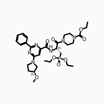 CCOC(=O)N1CCN(C(=O)[C@H](CP(=O)(OCC)OCC)NC(=O)c2cc(N3CC[C@H](OC)C3)nc(-c3ccccc3)n2)CC1